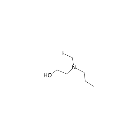 CCCN(CI)CCO